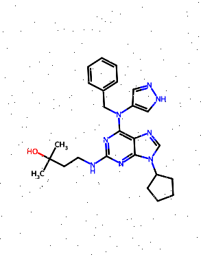 CC(C)(O)CCNc1nc(N(Cc2ccccc2)c2cn[nH]c2)c2ncn(C3CCCC3)c2n1